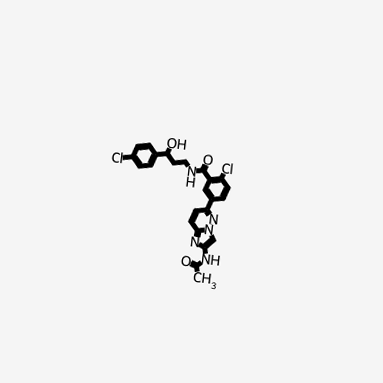 CC(=O)Nc1cn2nc(-c3ccc(Cl)c(C(=O)NCCC(O)c4ccc(Cl)cc4)c3)ccc2n1